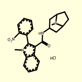 CN1C2CCC1CC(NC(=O)c1c(-c3ccccc3[N+](=O)[O-])n(C)c3ccccc13)C2.Cl